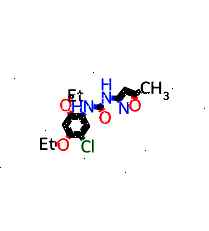 CCOc1cc(OCC)c(NC(=O)Nc2cc(C)on2)cc1Cl